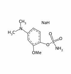 COc1cc(N(C)C)ccc1OS(N)(=O)=O.[NaH]